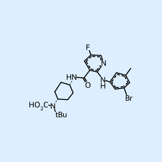 Cc1cc(Br)cc(Nc2ncc(F)cc2C(=O)N[C@H]2CC[C@@H](N(C(=O)O)C(C)(C)C)CC2)c1